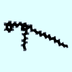 CCCCCCCCCCCCCCCCCc1nc(CCCc2ccccc2)cn1CCCCCCC